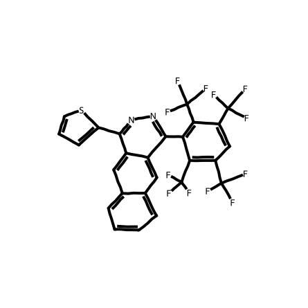 FC(F)(F)c1cc(C(F)(F)F)c(C(F)(F)F)c(-c2nnc(-c3cccs3)c3cc4ccccc4cc23)c1C(F)(F)F